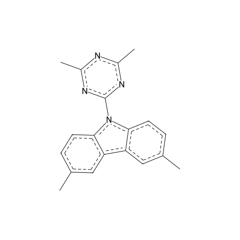 Cc1ccc2c(c1)c1cc(C)ccc1n2-c1nc(C)nc(C)n1